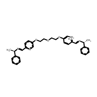 C=C(/C=C\C(=C/N)OCCOCCOc1ccc(/C=N/[C@H](C)c2ccccc2)nc1)/C=N/[C@H](C)c1ccccc1